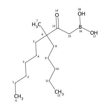 CCCCCCC(C)(CCCCC)C(=O)CB(O)O